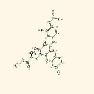 COC(=O)[C@@H](C)Cn1c(=O)[nH]/c(=N\c2ccc(OC(F)F)c(F)c2)n(Cc2ccc(Cl)cc2)c1=O